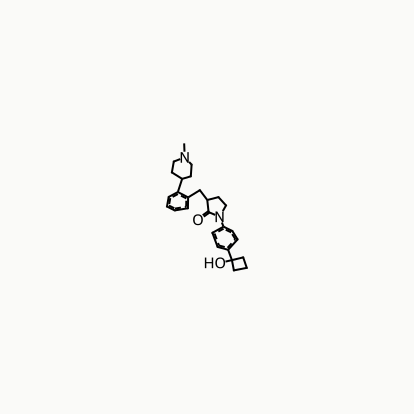 CN1CCC(c2ccccc2CC2CCN(c3ccc(C4(O)CCC4)cc3)C2=O)CC1